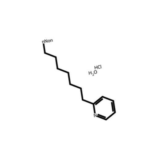 CCCCCCCCCCCCCCCCc1ccccn1.Cl.O